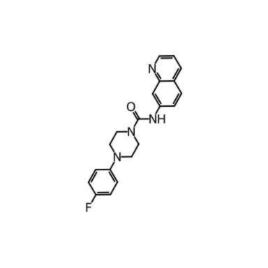 O=C(Nc1ccc2cccnc2c1)N1CCN(c2ccc(F)cc2)CC1